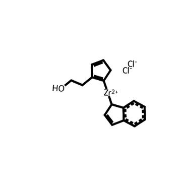 OCCC1=[C]([Zr+2][CH]2C=Cc3ccccc32)CC=C1.[Cl-].[Cl-]